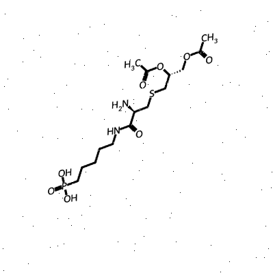 CC(=O)OC[C@H](CSC[C@H](N)C(=O)NCCCCCP(=O)(O)O)OC(C)=O